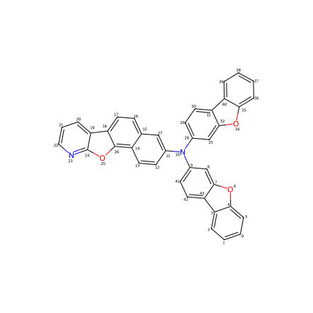 c1ccc2c(c1)oc1cc(N(c3ccc4c(ccc5c6cccnc6oc45)c3)c3ccc4c(c3)oc3ccccc34)ccc12